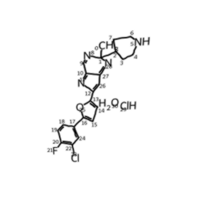 CC1(C2CCNCC2)N=CC2=NC(c3ccc(-c4ccc(F)c(Cl)c4)o3)=CC2=N1.Cl.O